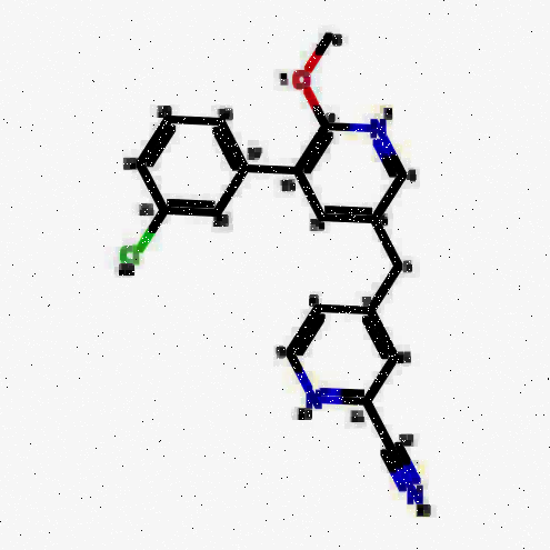 COc1ncc(Cc2ccnc(C#N)c2)cc1-c1cccc(Cl)c1